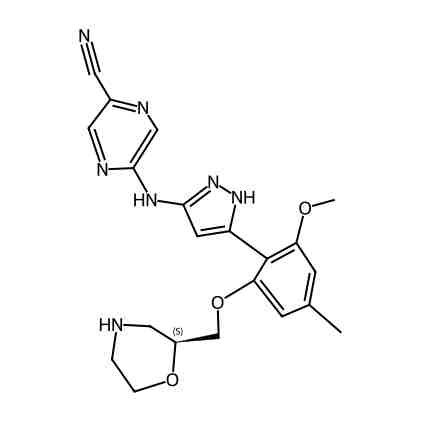 COc1cc(C)cc(OC[C@@H]2CNCCO2)c1-c1cc(Nc2cnc(C#N)cn2)n[nH]1